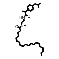 CC/C=C\C/C=C\CC=CC/C=C\C/C=C\CCCC(=O)NCCNC(=O)C(C)c1ccc(CC(C)C)cc1